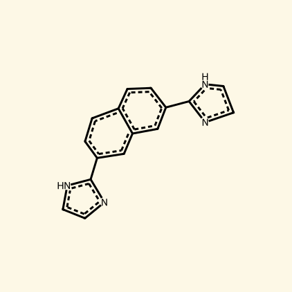 c1c[nH]c(-c2ccc3ccc(-c4ncc[nH]4)cc3c2)n1